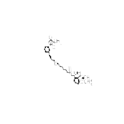 CN1C(=O)CN(c2cccc(C#CCCOCCCCCCNCC(O)c3cccc4c3COC(C)(C)O4)c2)C1=O